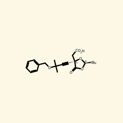 CC(C)(C#C[C@]1(CC(=O)O)O[C@@H](C(C)(C)C)OC1=O)OCc1ccccc1